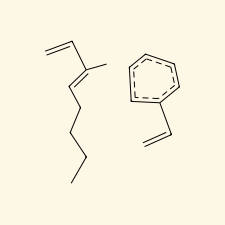 C=CC(C)=CCCCC.C=Cc1ccccc1